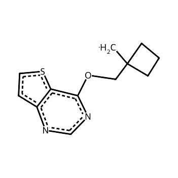 [CH2]C1(COc2ncnc3ccsc23)CCC1